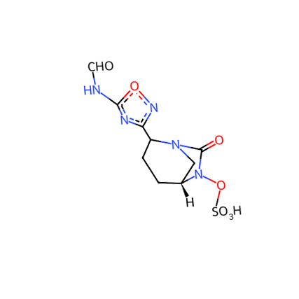 O=CNc1nc(C2CC[C@@H]3CN2C(=O)N3OS(=O)(=O)O)no1